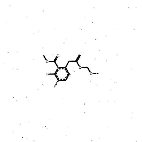 C=C(Cc1ccc(F)c(F)c1C(=O)OC)OCOC